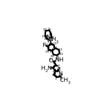 Cc1ccc2c(N)c(C(=O)N[C@@H]3CCc4cc(N5CC6CCC(C5)N6C)c(F)cc4C3)sc2n1